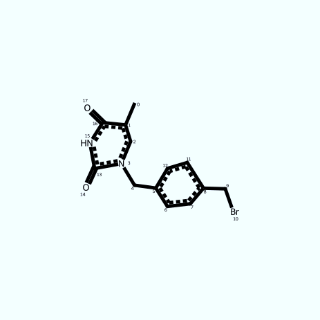 Cc1cn(Cc2ccc(CBr)cc2)c(=O)[nH]c1=O